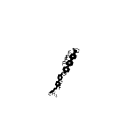 C/C=C/CCc1ccc(C2CCC(COC3CCC(c4ccc(-c5ccc(C6CO6)c(F)c5F)c(F)c4F)CC3)CC2)c(F)c1F